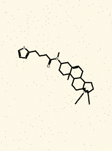 CC1C2CCC3C4CC=C5CC(N(C)C(=O)CCCc6cccs6)CCC5(C)C4CCC32CN1C